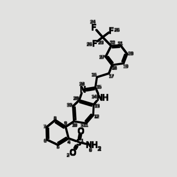 NS(=O)(=O)c1ccccc1-c1ccc2[nH]c(CCc3cccc(C(F)(F)F)c3)nc2c1